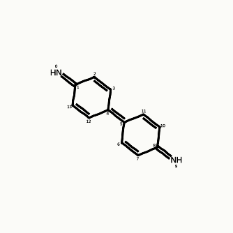 N=C1C=CC(=C2C=CC(=N)C=C2)C=C1